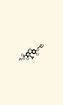 CC(C)OC(=O)c1cc2c(n(C3CC3)c1=O)-c1cc(Cl)c(OCC3COC3)cc1SC2